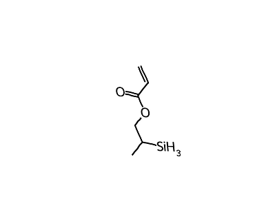 C=CC(=O)OCC(C)[SiH3]